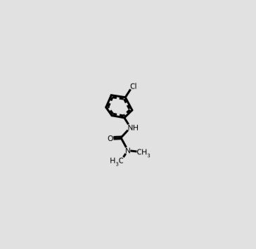 CN(C)C(=O)Nc1cccc(Cl)c1